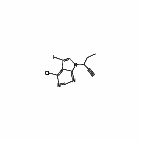 C#CC(CC)n1cc(I)c2c(Cl)ncnc21